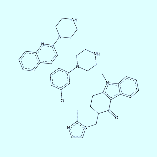 Cc1nccn1CC1CCc2c(c3ccccc3n2C)C1=O.Clc1cccc(N2CCNCC2)c1.c1ccc2nc(N3CCNCC3)ccc2c1